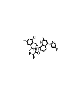 Cc1cc(-n2cc(F)cn2)c2cccc(OCc3c(Cl)cc(F)cc3[C@H](C)NC(=O)C(F)F)c2n1